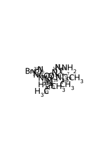 Cc1cc(C)c2c(c1)c1c(N)ncnc1n2CC(=O)N1[C@H](C)[C@@H](C)C[C@H]1C(=O)Nc1cncc(Br)n1